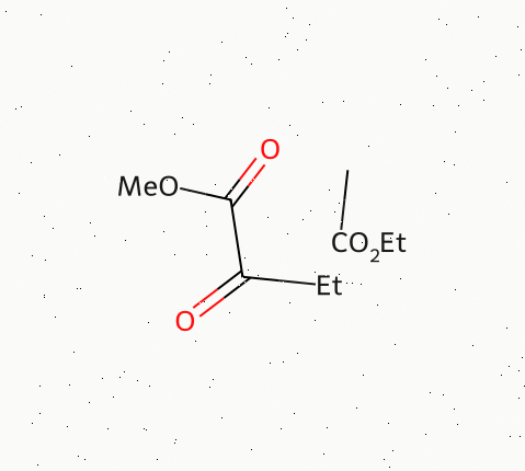 CCC(=O)C(=O)OC.CCOC(C)=O